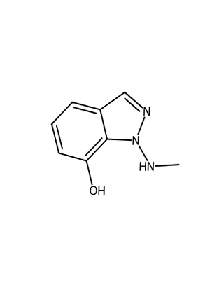 CNn1ncc2cccc(O)c21